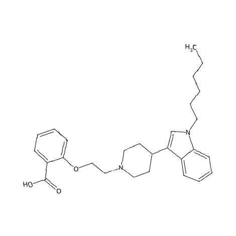 CCCCCCn1cc(C2CCN(CCOc3ccccc3C(=O)O)CC2)c2ccccc21